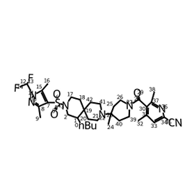 CCCCC1CN(S(=O)(=O)c2c(C)nn(C(F)F)c2C)CCC12CCN(C1(C)CCN(C(=O)c3c(C)cc(C#N)nc3C)CC1)CC2